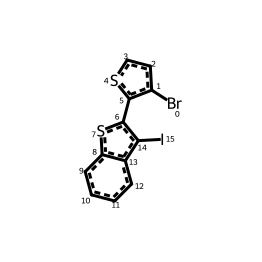 Brc1ccsc1-c1sc2ccccc2c1I